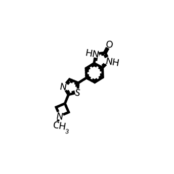 CN1CC(c2ncc(-c3ccc4[nH]c(=O)[nH]c4c3)s2)C1